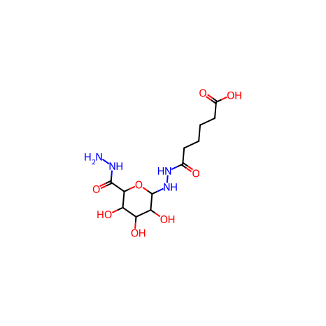 NNC(=O)C1OC(NNC(=O)CCCCC(=O)O)C(O)C(O)C1O